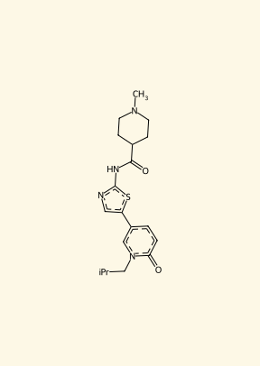 CC(C)Cn1cc(-c2cnc(NC(=O)C3CCN(C)CC3)s2)ccc1=O